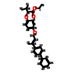 CCOC(=O)C(Oc1ccc(OC/C=C(\C)c2ccc(-c3ccccc3)cc2)cc1)C(C)C